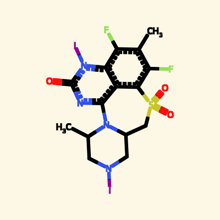 Cc1c(F)c2c3c(nc(=O)n(I)c3c1F)N1C(C)CN(I)CC1CS2(=O)=O